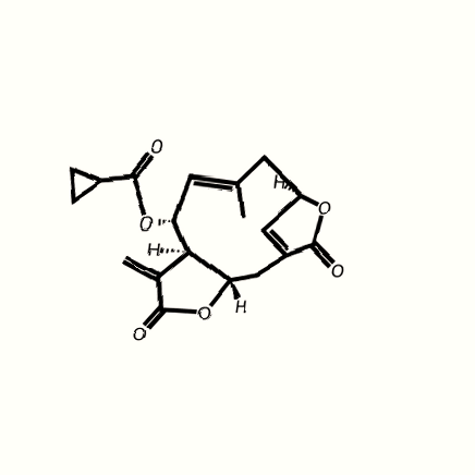 C=C1C(=O)O[C@H]2CC3=C[C@@H](C/C(C)=C/[C@@H](OC(=O)C4CC4)[C@H]12)OC3=O